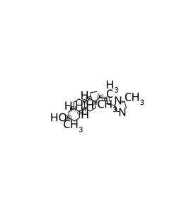 Cc1cncc(C[C@H](C)[C@H]2CC[C@H]3[C@@H]4CC[C@@H]5C[C@](C)(O)CC[C@@H]5[C@H]4CC[C@]23C)n1